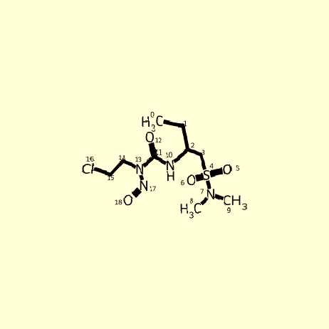 CCC(CS(=O)(=O)N(C)C)NC(=O)N(CCCl)N=O